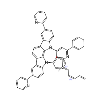 C=C/C=C\C=C(/C)c1cc(-n2c3ccc(-c4ccccn4)cc3c3ccc4c5cc(-c6ccccn6)ccc5n(-c5ccccc5)c4c32)cc(C2=CCCC=C2)n1